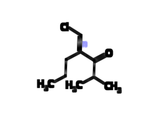 CCC/C(=C\Cl)C(=O)C(C)C